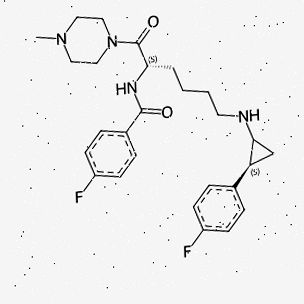 CN1CCN(C(=O)[C@H](CCCCNC2C[C@H]2c2ccc(F)cc2)NC(=O)c2ccc(F)cc2)CC1